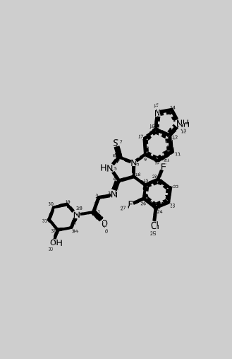 O=C(C/N=C1\NC(=S)N(c2ccc3[nH]cnc3c2)C1c1c(F)ccc(Cl)c1F)N1CCCC(O)C1